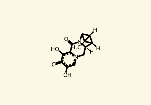 C[C@@]12C3[C@@H]1[C@@H]2[C@H]1Cn2cc(O)c(=O)c(O)c2C(=O)N31